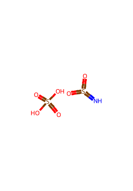 N=S(=O)=O.O=S(=O)(O)O